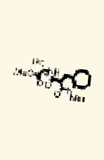 CCCCn1c2c(cc(C(=O)N[C@H](C(=O)OC)C(C)C)c1=O)CCCCC2